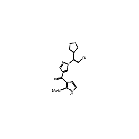 CNc1[nH]ccc1C(=N)c1cnn(C(CC#N)C2CCCC2)c1